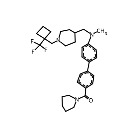 CN(CC1CCN(CC2(C(F)(F)F)CCC2)CC1)c1ccc(-c2ccc(C(=O)N3CCCCC3)cc2)cc1